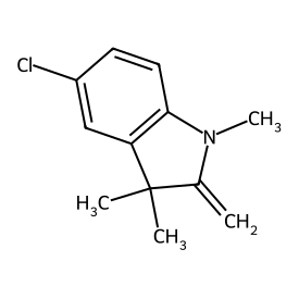 C=C1N(C)c2ccc(Cl)cc2C1(C)C